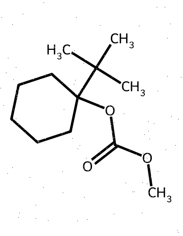 COC(=O)OC1(C(C)(C)C)CCCCC1